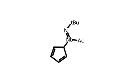 C[C](=O)[Nb](=[N]C(C)(C)C)[CH]1C=CC=C1